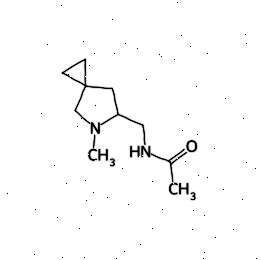 CC(=O)NCC1CC2(CC2)CN1C